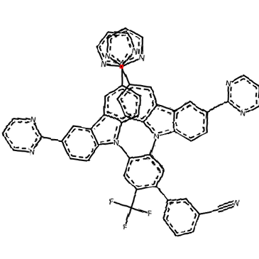 N#Cc1cccc(-c2cc(-n3c4ccc(-c5ncccn5)cc4c4cc(-c5ncccn5)ccc43)c(-n3c4ccc(-c5ncccn5)cc4c4cc(-c5ncccn5)ccc43)cc2C(F)(F)F)c1